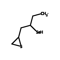 [CH2]CC([SeH])CC1CS1